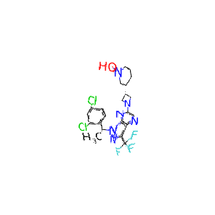 C[C@H](c1ccc(Cl)cc1Cl)n1nc(C(F)(F)F)c2ncc(N3CC([C@H]4CCCN(O)C4)C3)nc21